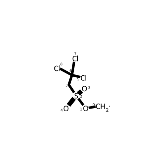 [CH2]OS(=O)(=O)CC(Cl)(Cl)Cl